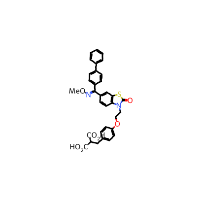 CON=C(c1ccc(-c2ccccc2)cc1)c1ccc2c(c1)sc(=O)n2CCOc1ccc(CC(C(=O)O)C(=O)O)cc1